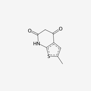 Cc1cc2c(s1)NC(=O)CC2=O